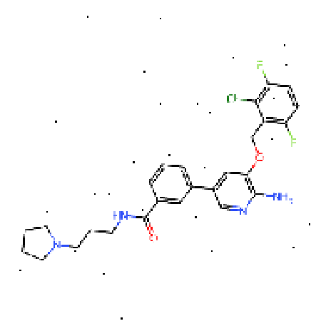 Nc1ncc(-c2cccc(C(=O)NCCCN3CCCC3)c2)cc1OCc1c(F)ccc(F)c1Cl